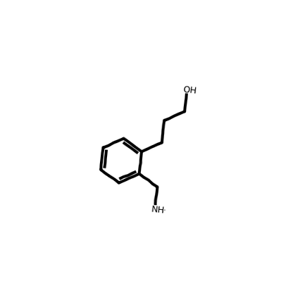 [NH]Cc1ccccc1CCCO